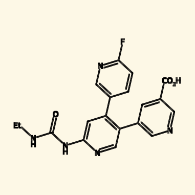 CCNC(=O)Nc1cc(-c2ccc(F)nc2)c(-c2cncc(C(=O)O)c2)cn1